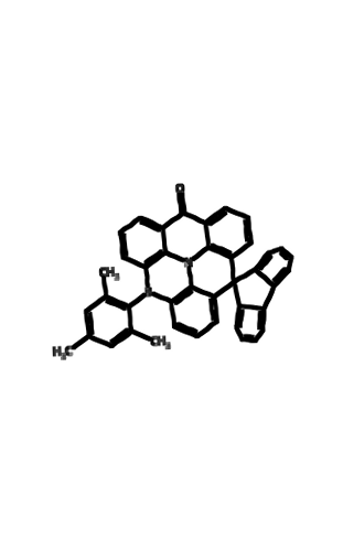 Cc1cc(C)c(B2c3cccc4c3-n3c5c2cccc5c(=O)c2cccc(c23)C42c3ccccc3-c3ccccc32)c(C)c1